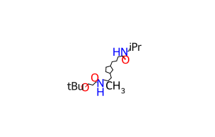 CC(C)CNC(=O)CCCC1CCC(CC(C)CNC(=O)CCOC(C)(C)C)C1